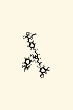 CCOC(Cc1ccc(OCCN(CCCOc2cc(Cl)cc(Cl)c2)C(=O)Oc2cccc(C(F)(F)F)c2)cc1)C(=O)O